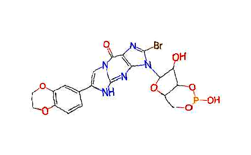 O=c1c2nc(Br)n(C3OC4COP(O)OC4C3O)c2nc2[nH]c(-c3ccc4c(c3)OCCO4)cn12